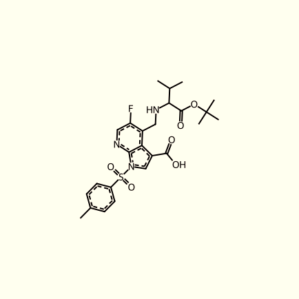 Cc1ccc(S(=O)(=O)n2cc(C(=O)O)c3c(CNC(C(=O)OC(C)(C)C)C(C)C)c(F)cnc32)cc1